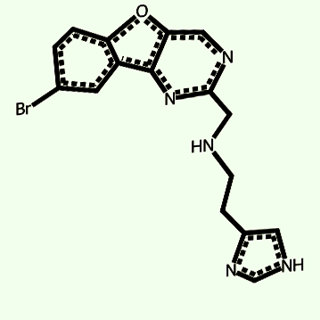 Brc1ccc2oc3cnc(CNCCc4c[nH]cn4)nc3c2c1